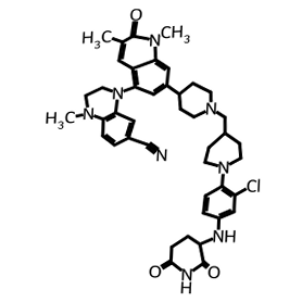 Cc1cc2c(N3CCN(C)c4ccc(C#N)cc43)cc(C3CCN(CC4CCN(c5ccc(NC6CCC(=O)NC6=O)cc5Cl)CC4)CC3)cc2n(C)c1=O